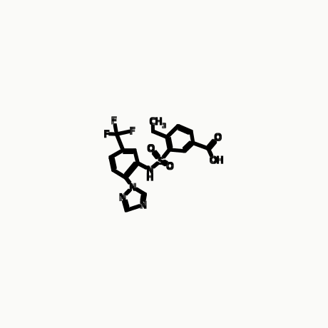 CCc1ccc(C(=O)O)cc1S(=O)(=O)Nc1cc(C(F)(F)F)ccc1-n1cncn1